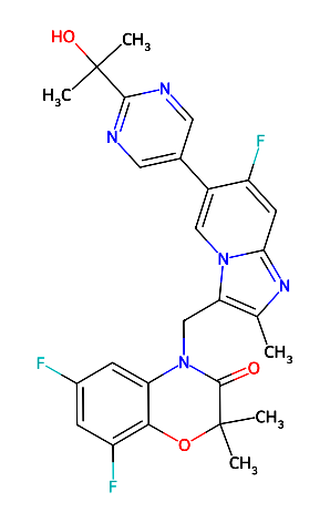 Cc1nc2cc(F)c(-c3cnc(C(C)(C)O)nc3)cn2c1CN1C(=O)C(C)(C)Oc2c(F)cc(F)cc21